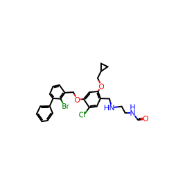 O=CNCCNCc1cc(Cl)c(OCc2cccc(-c3ccccc3)c2Br)cc1OCC1CC1